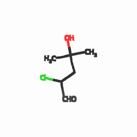 CC(C)(O)CC(Cl)C=O